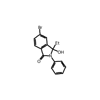 CCC1(O)c2cc(Br)ccc2C(=O)N1c1ccccc1